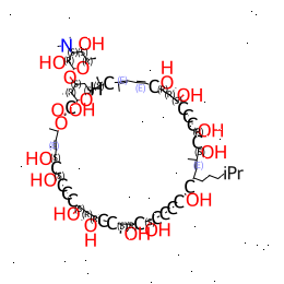 C/C1=C\C=C\C[C@@H](O)[C@H](C)[C@@H](O)CCC[C@@H](O)C[C@H](O)/C(C)=C/C(CCCC(C)C)CC(O)CCCC[C@H](O)C[C@@H](O)[C@@H](C)CC[C@@H](O)[C@H](C)[C@@H](O)CCC[C@H](O)C[C@H](O)/C=C/C(C)OC(=O)CC2(O)O[C@@H](C[C@H](OC3O[C@H](C)[C@@H](O)[C@H](N(C)C)[C@H]3O)[C@H]2C)[C@@H](C)C1